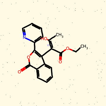 CCOC(=O)/C(=C(\C)O)c1c(-c2ccccn2)oc(=O)c2ccccc12